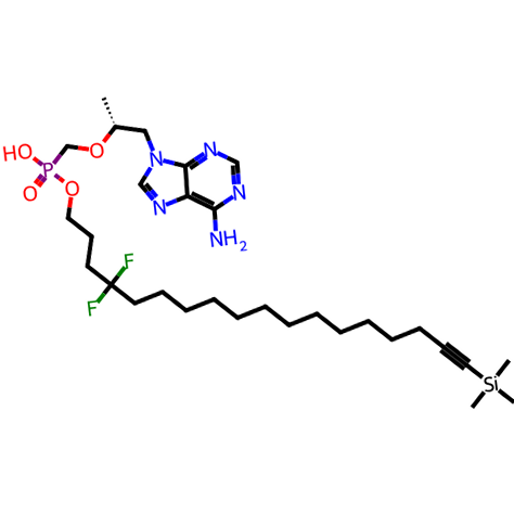 C[C@H](Cn1cnc2c(N)ncnc21)OCP(=O)(O)OCCCC(F)(F)CCCCCCCCCCCCC#C[Si](C)(C)C